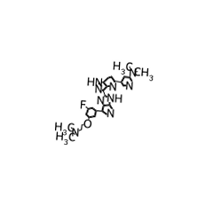 CN(C)CCOc1cc(F)cc(-c2cncc3[nH]c(-c4n[nH]c5ccc(-c6cncc(N(C)C)c6)nc45)nc23)c1